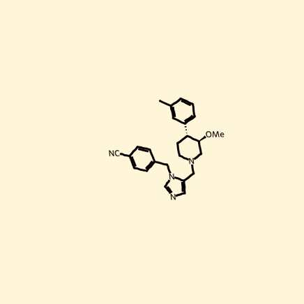 CO[C@H]1CN(Cc2cncn2Cc2ccc(C#N)cc2)CC[C@@H]1c1cccc(C)c1